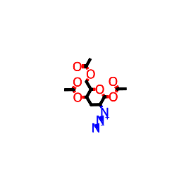 CC(=O)OCC1OC(OC(C)=O)C(N=[N+]=[N-])CC1OC(C)=O